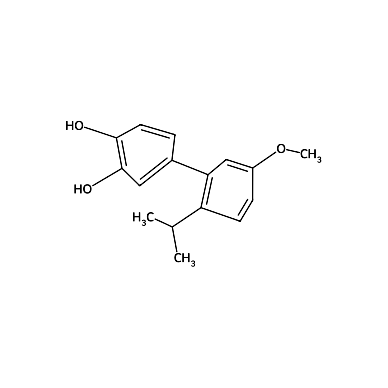 COc1ccc(C(C)C)c(-c2ccc(O)c(O)c2)c1